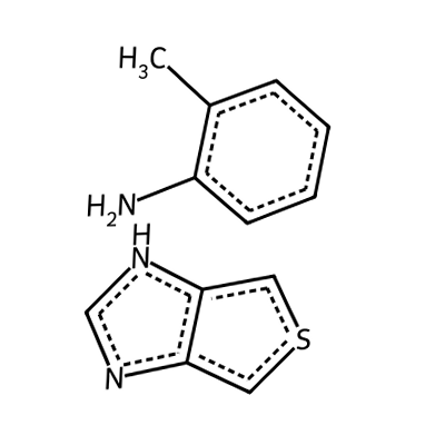 Cc1ccccc1N.c1nc2cscc2[nH]1